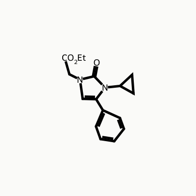 CCOC(=O)Cn1cc(-c2ccccc2)n(C2CC2)c1=O